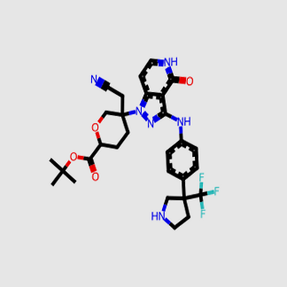 CC(C)(C)OC(=O)C1CCC(CC#N)(n2nc(Nc3ccc(C4(C(F)(F)F)CCNC4)cc3)c3c(=O)[nH]ccc32)CO1